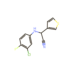 N#CC(Nc1ccc(F)c(Cl)c1)c1ccsc1